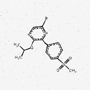 CC(C)Oc1ncc(Br)nc1-c1ccc(S(C)(=O)=O)cc1